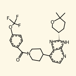 CC1(C)CC[C@H](c2nc3c(C4CCN(C(=O)c5ccc(OC(F)(F)F)cc5)CC4)ccnc3[nH]2)CO1